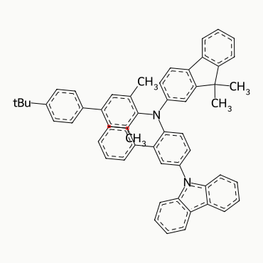 Cc1cc(-c2ccc(C(C)(C)C)cc2)cc(C)c1N(c1ccc2c(c1)C(C)(C)c1ccccc1-2)c1ccc(-n2c3ccccc3c3ccccc32)cc1-c1ccccc1